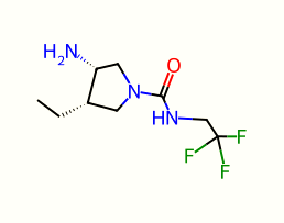 CC[C@H]1CN(C(=O)NCC(F)(F)F)C[C@H]1N